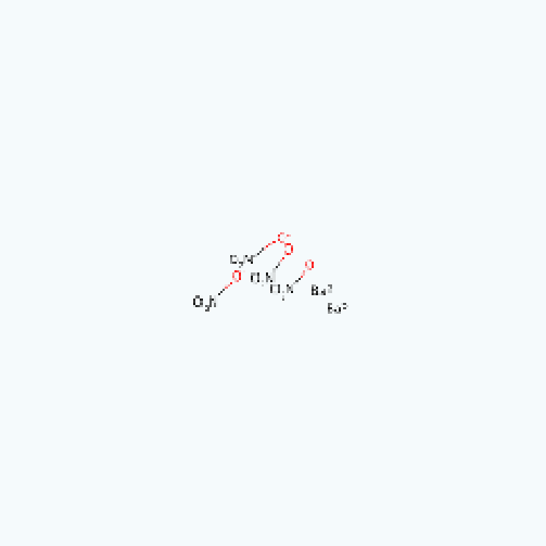 O=[N+]([O-])[O-].O=[N+]([O-])[O-].O=[N+]([O-])[O-].O=[N+]([O-])[O-].[Ba+2].[Ba+2]